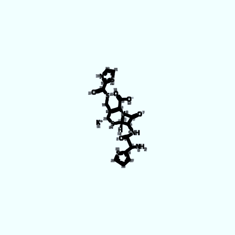 NC(C(=O)NC1C(=O)N2C(C(=O)[O-])=C(CSC(=O)c3nccs3)CS[C@@H]12)c1cccs1.[K+]